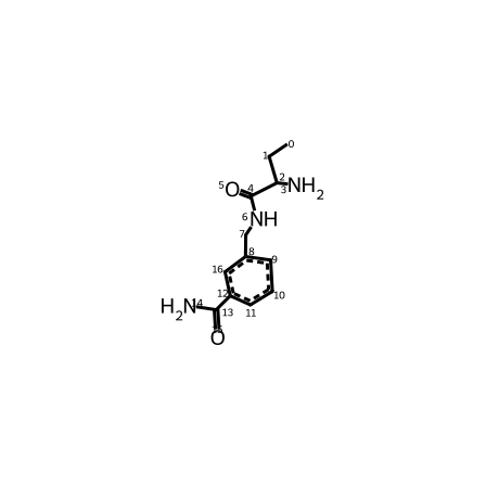 CCC(N)C(=O)NCc1cccc(C(N)=O)c1